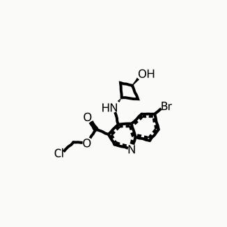 O=C(OCCl)c1cnc2ccc(Br)cc2c1N[C@H]1C[C@H](O)C1